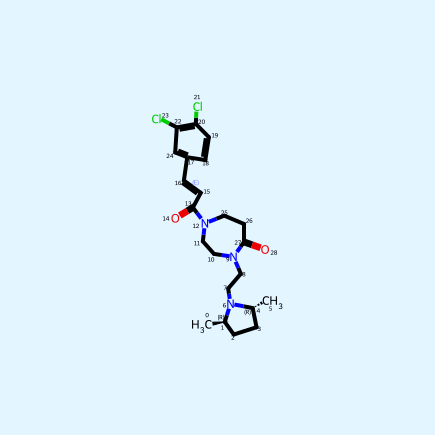 C[C@@H]1CC[C@@H](C)N1CCN1CCN(C(=O)/C=C/c2ccc(Cl)c(Cl)c2)CCC1=O